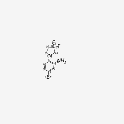 Nc1cc(Br)ccc1N1CCC(F)(F)C1